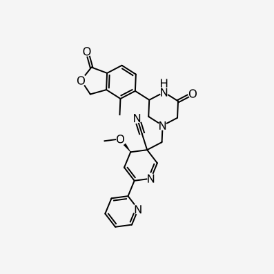 CO[C@@H]1C=C(c2ccccn2)N=CC1(C#N)CN1CC(=O)NC(c2ccc3c(c2C)COC3=O)C1